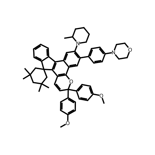 COc1ccc(C2(c3ccc(OC)cc3)C=Cc3c4c(c5cc(N6CCCCC6C)c(-c6ccc(N7CCOCC7)cc6)cc5c3O2)-c2ccccc2C42CC(C)(C)CC(C)(C)C2)cc1